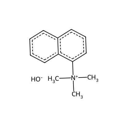 C[N+](C)(C)c1cccc2ccccc12.[OH-]